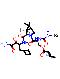 C/C=C/C(=O)OC[C@H](NC(=O)NC(C)(C)C)C(=O)N1CC2[C@@H](C1C(=O)NC(CC1CCC1)C(=O)C(N)=O)C2(C)C